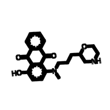 CN(CCCC1CNCCO1)c1ccc(O)c2c1C(=O)c1ccccc1C2=O